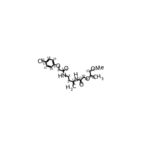 C=C(CCNC(=O)COc1ccc(Cl)cc1)NC(=O)COC(C)COC